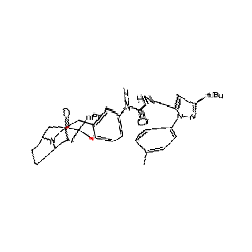 CCCC(C)(C)C(=O)N1C2CCC1CC(Cc1cccc(NC(=O)Nc3cc(C(C)(C)C)nn3-c3ccc(C)cc3)c1)C2